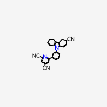 N#Cc1cc(C#N)nc(-c2cccc(-n3c4c(c5c3C=CC(C#N)C5)CCC=C4)c2)c1